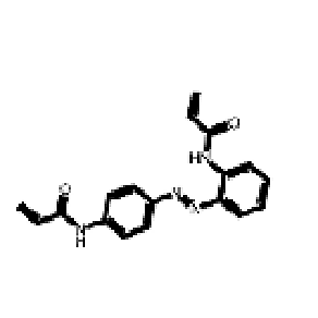 C=CC(=O)Nc1ccc(N=Nc2ccccc2NC(=O)C=C)cc1